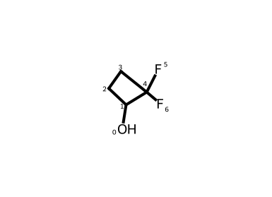 OC1CCC1(F)F